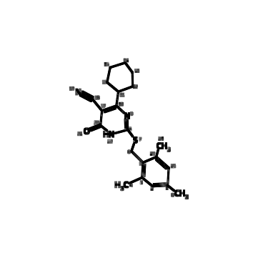 Cc1cc(C)c(CSc2nc(C3CCCCC3)c(C#N)c(=O)[nH]2)c(C)c1